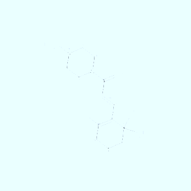 CC1=C(/C=C/C(=O)N2CCN(C(=O)O)CC2)C(C)(C)CCC1